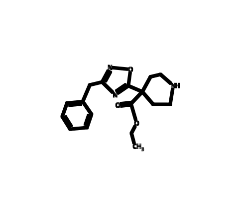 CCOC(=O)C1(c2nc(Cc3ccccc3)no2)CCNCC1